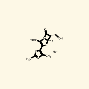 Cc1nc(C)c(C2=C(C(=O)[O-])N3C(=O)[C@H](CO)[C@H]3S2)s1.[Na+]